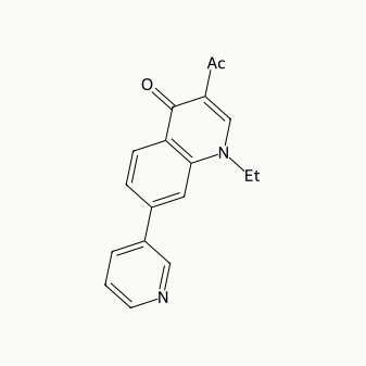 CCn1cc(C(C)=O)c(=O)c2ccc(-c3cccnc3)cc21